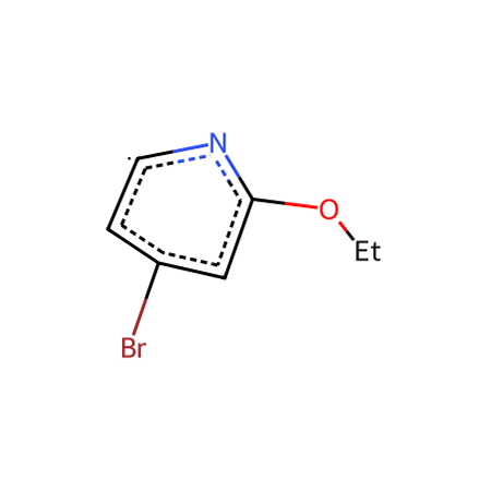 CCOc1cc(Br)c[c]n1